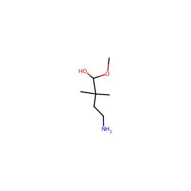 COC(O)C(C)(C)CCN